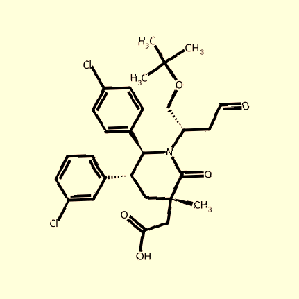 CC(C)(C)OC[C@H](CC=O)N1C(=O)[C@](C)(CC(=O)O)C[C@H](c2cccc(Cl)c2)[C@H]1c1ccc(Cl)cc1